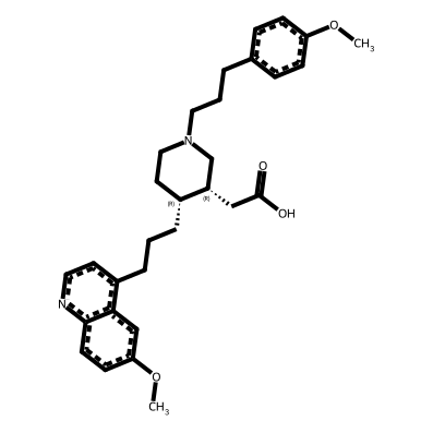 COc1ccc(CCCN2CC[C@@H](CCCc3ccnc4ccc(OC)cc34)[C@@H](CC(=O)O)C2)cc1